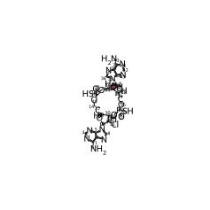 Nc1ncnc2c1ncn2[C@@H]1O[C@@H]2CCOP(=O)(S)O[C@@H]3[C@H](O)[C@@H](COP(=O)(S)O[C@H]2[C@H]1Cl)O[C@H]3n1cnc2c(N)ncnc21